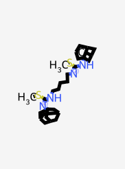 CS/C(=N\CCCCCN/C(=N\C12CC3CC(CC(C3)C1)C2)SC)NC12CC3CC4CC(C1)C42C3